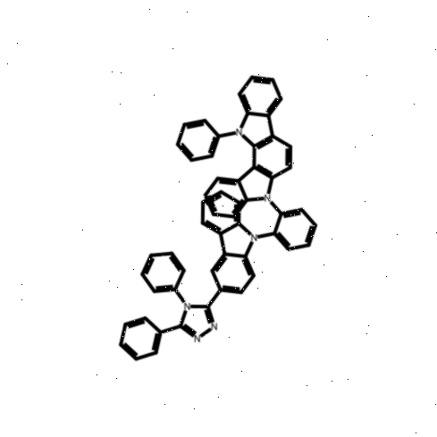 c1ccc(-c2nnc(-c3ccc4c(c3)c3ccccc3n4-c3ccccc3-n3c4ccccc4c4c3ccc3c5ccccc5n(-c5ccccc5)c34)n2-c2ccccc2)cc1